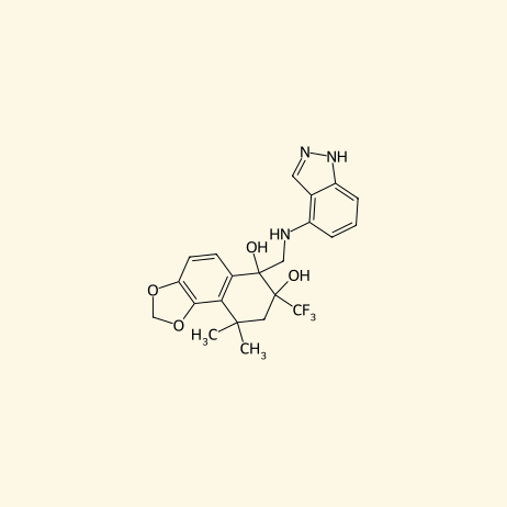 CC1(C)CC(O)(C(F)(F)F)C(O)(CNc2cccc3[nH]ncc23)c2ccc3c(c21)OCO3